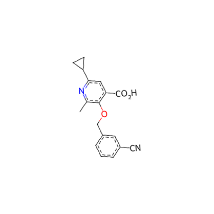 Cc1nc(C2CC2)cc(C(=O)O)c1OCc1cccc(C#N)c1